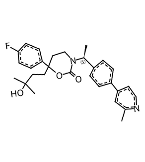 Cc1cc(-c2ccc([C@H](C)N3CCC(CCC(C)(C)O)(c4ccc(F)cc4)OC3=O)cc2)ccn1